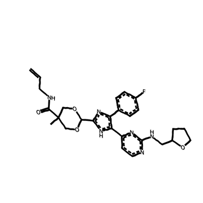 C=CCNC(=O)C1(C)COC(c2nc(-c3ccc(F)cc3)c(-c3ccnc(NCC4CCCO4)n3)[nH]2)OC1